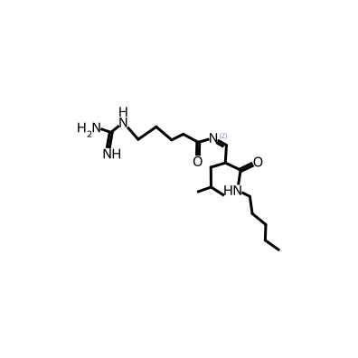 CCCCCNC(=O)C(/C=N\C(=O)CCCCNC(=N)N)CC(C)C